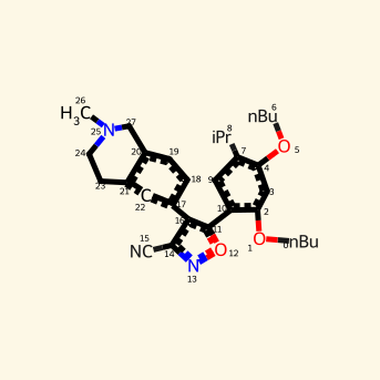 CCCCOc1cc(OCCCC)c(C(C)C)cc1-c1onc(C#N)c1-c1ccc2c(c1)CCN(C)C2